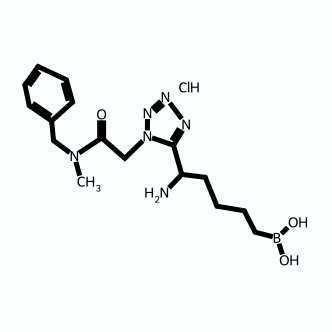 CN(Cc1ccccc1)C(=O)Cn1nnnc1C(N)CCCCB(O)O.Cl